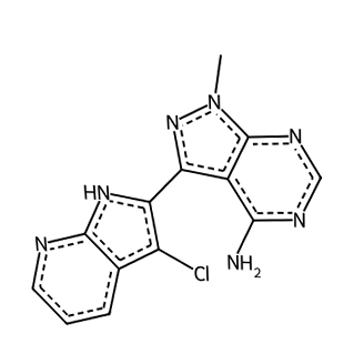 Cn1nc(-c2[nH]c3ncccc3c2Cl)c2c(N)ncnc21